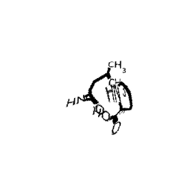 CC(C)CC1NC1=O.O=C(O)[C@@H]1CCCN1